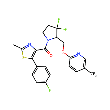 Cc1nc(C(=O)N2CCC(F)(F)C2COc2ccc(C(F)(F)F)cn2)c(-c2ccc(F)cc2)s1